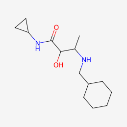 CC(NCC1CCCCC1)C(O)C(=O)NC1CC1